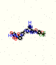 O=C1CCN(N2C(=O)c3cccc(N4CCC(CN5CCN(c6ncc(C(=O)Nc7ccc(OC(F)(F)Cl)cc7)cc6-c6cc[nH]n6)CC5)CC4)c3C2=O)C(=O)N1